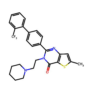 Cc1cc2nc(-c3ccc(-c4ccccc4C(F)(F)F)cc3)n(CCN3CCCCC3)c(=O)c2s1